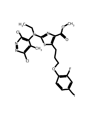 CCN(c1nc(C(=O)OC)c(CCCOc2ccc(I)cc2F)s1)c1c(Cl)nnc(Cl)c1C